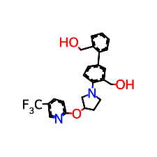 OCc1ccccc1-c1ccc(N2CCC(Oc3ccc(C(F)(F)F)cn3)C2)c(CO)c1